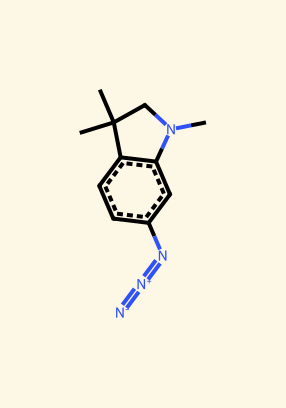 CN1CC(C)(C)c2ccc(N=[N+]=[N-])cc21